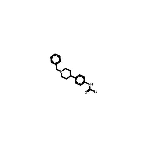 CCC(=O)Nc1ccc(C2CCN(Cc3ccccc3)CC2)cc1